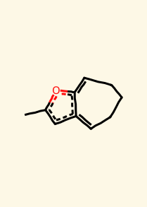 Cc1cc2c(o1)=CCCCC=2